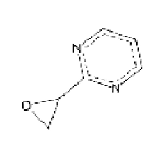 c1cnc(C2CO2)nc1